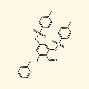 Cc1ccc(S(=O)(=O)Oc2cc(OCc3ccccn3)c(C=O)c(OS(=O)(=O)c3ccc(C)cc3)c2)cc1